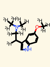 [2H]C(c1c[nH]c2ccc(OC([2H])([2H])[2H])cc12)C([2H])([2H])N(C([2H])([2H])[2H])C([2H])([2H])[2H]